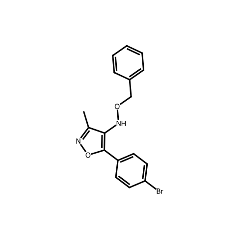 Cc1noc(-c2ccc(Br)cc2)c1NOCc1ccccc1